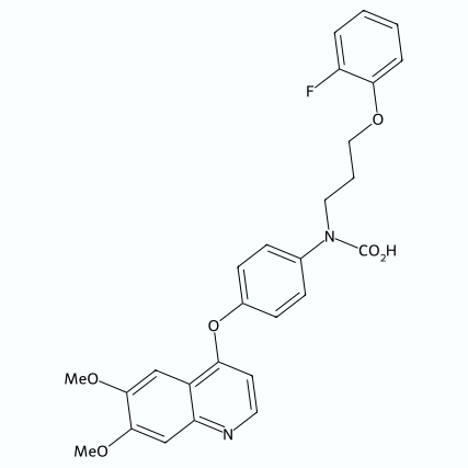 COc1cc2nccc(Oc3ccc(N(CCCOc4ccccc4F)C(=O)O)cc3)c2cc1OC